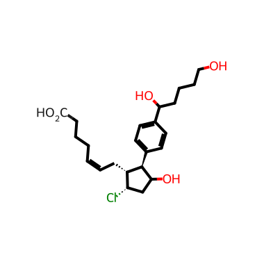 O=C(O)CCC/C=C\C[C@H]1[C@@H](Cl)CC(O)[C@@H]1c1ccc(C(O)CCCCO)cc1